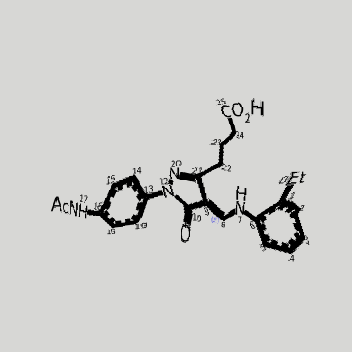 CCc1ccccc1N/C=C1/C(=O)N(c2ccc(NC(C)=O)cc2)N=C1CCCC(=O)O